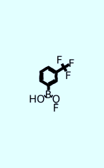 OB(OF)c1cccc(C(F)(F)F)c1